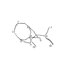 CC(C)C1CC2CCC1C2(C)C